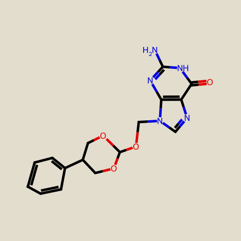 Nc1nc2c(ncn2COC2OCC(c3ccccc3)CO2)c(=O)[nH]1